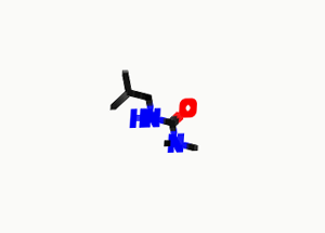 C[N]C(=O)NCC(C)C